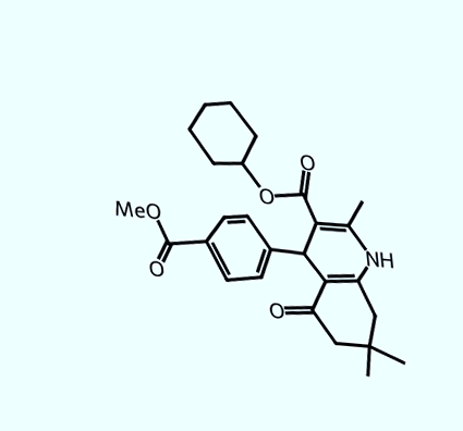 COC(=O)c1ccc(C2C(C(=O)OC3CCCCC3)=C(C)NC3=C2C(=O)CC(C)(C)C3)cc1